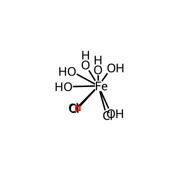 [OH][Fe]([OH])([OH])([OH])([OH])([OH])([Cl])([Cl])[Cl]